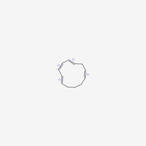 [C]1=C\C=C\C/C=C\CCC/C=C/1